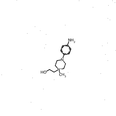 C[N+]1(CCO)CCN(c2ccc(N)cc2)CC1